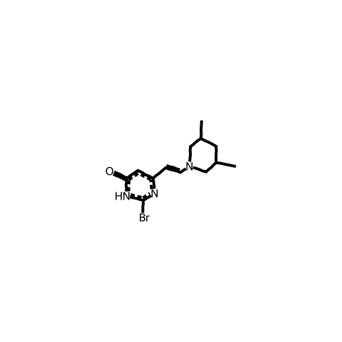 CC1CC(C)CN(/C=C/c2cc(=O)[nH]c(Br)n2)C1